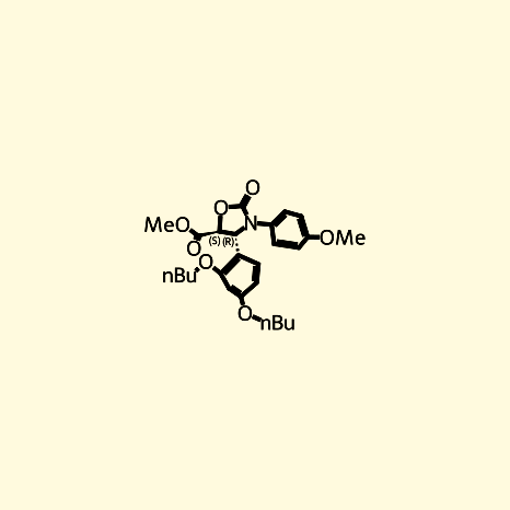 CCCCOc1ccc([C@@H]2[C@@H](C(=O)OC)OC(=O)N2c2ccc(OC)cc2)c(OCCCC)c1